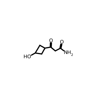 NC(=O)CC(=O)[C]1CC(O)C1